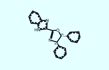 c1ccc([C@H]2N=C(c3nc4ccccc4[nH]3)O[C@@H]2c2ccccc2)cc1